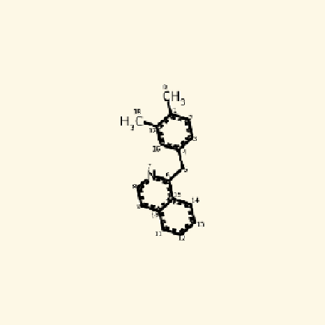 Cc1ccc(Cc2nccc3ccccc23)cc1C